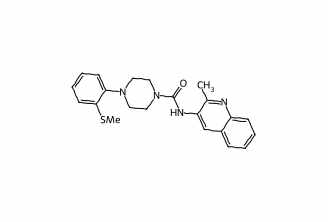 CSc1ccccc1N1CCN(C(=O)Nc2cc3ccccc3nc2C)CC1